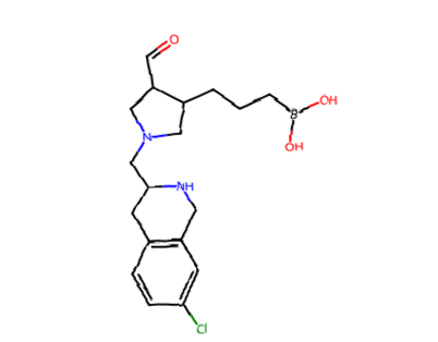 O=CC1CN(CC2Cc3ccc(Cl)cc3CN2)CC1CCCB(O)O